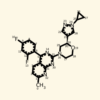 Cc1ccc2c(-c3ccc(F)cc3F)nc(N3CCO[C@H](c4cnn(C5CC5)c4)C3)nc2n1